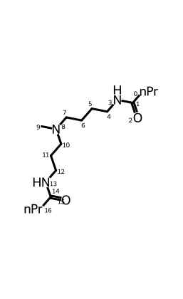 CCCC(=O)NCCCCN(C)CCCNC(=O)CCC